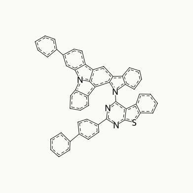 c1ccc(-c2ccc(-c3nc(-n4c5ccccc5c5cc6c7ccc(-c8ccccc8)cc7n7c8ccccc8c(c54)c67)c4c(n3)sc3ccccc34)cc2)cc1